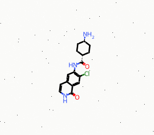 N[C@H]1CC[C@H](C(=O)Nc2cc3cc[nH]c(=O)c3cc2Cl)CC1